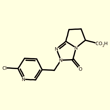 O=C(O)C1CCc2nn(Cc3ccc(Cl)nc3)c(=O)n21